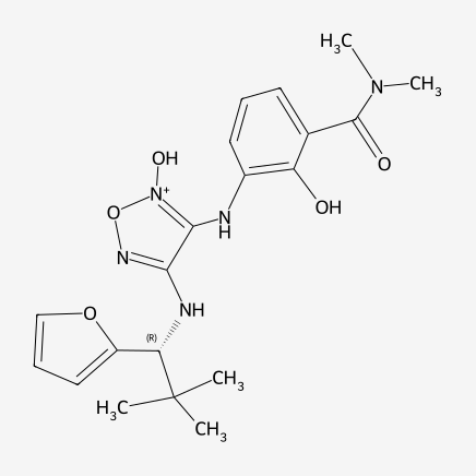 CN(C)C(=O)c1cccc(Nc2c(N[C@@H](c3ccco3)C(C)(C)C)no[n+]2O)c1O